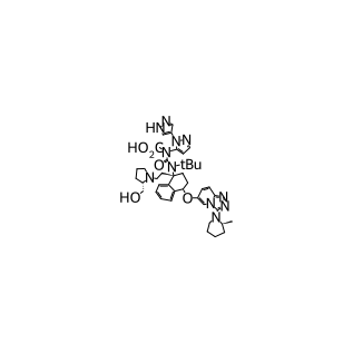 C[C@H]1CCCCN1c1nnc2ccc(O[C@@H]3CC[C@@](CCN4CCC[C@H]4CO)(N(C(=O)N(C(=O)O)c4ccnn4-c4cn[nH]c4)C(C)(C)C)c4ccccc43)cn12